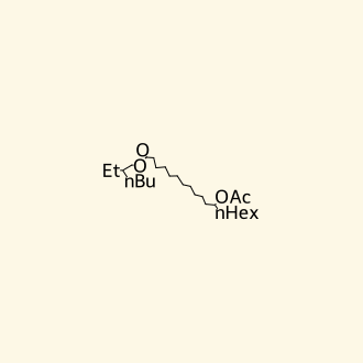 CCCCCCC(CCCCCCCCCCC(=O)OCC(CC)CCCC)OC(C)=O